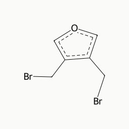 BrCc1cocc1CBr